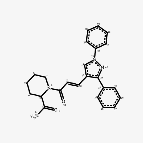 NC(=O)C1CCCCN1C(=O)C=Cc1cn(-c2ccccc2)nc1-c1ccccc1